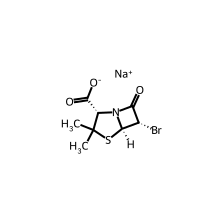 CC1(C)S[C@@H]2[C@@H](Br)C(=O)N2[C@H]1C(=O)[O-].[Na+]